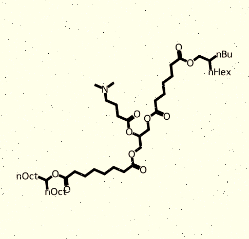 CCCCCCCCC(CCCCCCCC)OC(=O)CCCCCCC(=O)OCC(COC(=O)CCCCCC(=O)OCC(CCCC)CCCCCC)OC(=O)CCCN(C)C